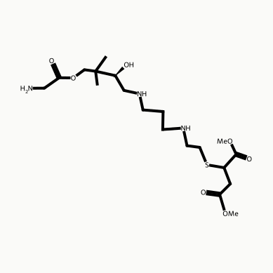 COC(=O)CC(SCCNCCCNC[C@H](O)C(C)(C)COC(=O)CN)C(=O)OC